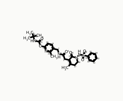 CC1=C(CC(=O)NCc2ccc(OC(=O)NC(C)(C)C)nc2C)C(=O)N(NS(=O)(=O)c2ccccc2)CC1